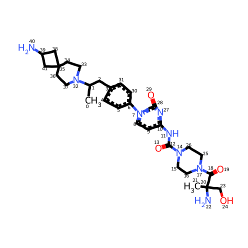 CC(Cc1ccc(-n2ccc(NC(=O)N3CCN(C(=O)C(C)(N)CO)CC3)nc2=O)cc1)N1CCC2(CC1)CC(N)C2